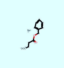 O=C([O-])CCC(=O)OCc1ccccc1.[Na+]